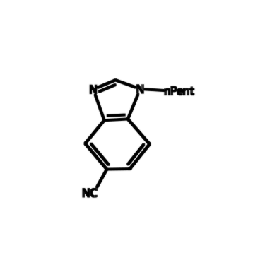 CCCCCn1cnc2cc(C#N)ccc21